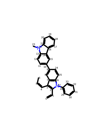 C=Cc1c(/C=C\C)c2cc(-c3ccc4c(c3)c3ccccc3n4C)ccc2n1-c1ccccc1